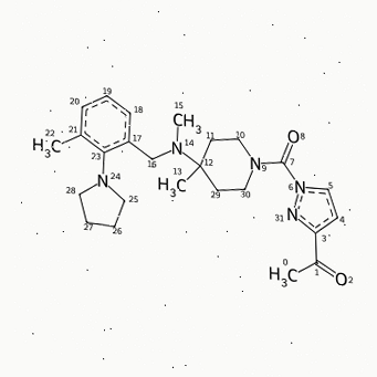 CC(=O)c1ccn(C(=O)N2CCC(C)(N(C)Cc3cccc(C)c3N3CCCC3)CC2)n1